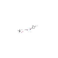 C[C@@H](O[Si](C)(C)C(C)(C)C)c1nnc(C2CC(N)C2)o1